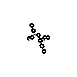 c1ccc(-c2ccc(-c3ccc(-c4cccc(N(c5ccc(-c6ccccc6)cc5)c5ccc6ccccc6c5)c4)c4c3oc3c5ccccc5ccc34)cc2)cc1